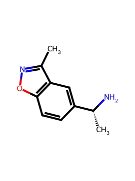 Cc1noc2ccc([C@@H](C)N)cc12